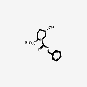 CCOC(=O)[C@H]1CC[C@@H](O)CN1C(=O)OCc1ccccc1